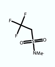 C[N]S(=O)(=O)CC(F)(F)F